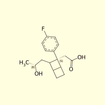 C[C@@H](O)CC1C2CCC2[C@]1(CC(=O)O)c1ccc(F)cc1